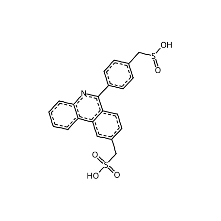 O=S(O)Cc1ccc(-c2nc3ccccc3c3cc(CS(=O)(=O)O)ccc23)cc1